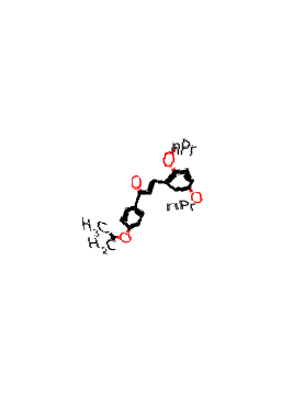 C=C(C)Oc1ccc(C(=O)C=Cc2cc(OCCC)ccc2OCCC)cc1